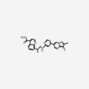 CNC(=S)c1ccnc2c(C(C)CNc3cc(-c4cnc5c(F)c(C)nn5c4)ncn3)cccc12